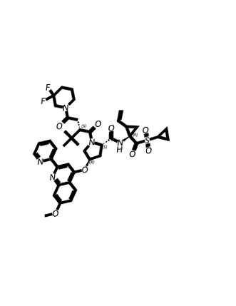 C=CC1C[C@]1(NC(=O)[C@@H]1C[C@@H](Oc2cc(-c3ccccn3)nc3cc(OC)ccc23)CN1C(=O)[C@@H](CC(=O)N1CCCC(F)(F)C1)C(C)(C)C)C(=O)S(=O)(=O)C1CC1